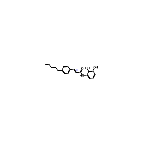 CCCCCc1ccc(/C=C/C(=O)Nc2cccc(O)c2O)cc1